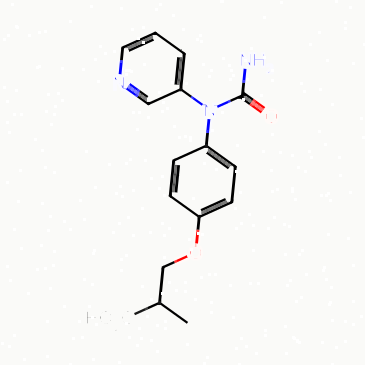 CC(COc1ccc(N(C(N)=O)c2cccnc2)cc1)C(=O)O